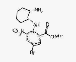 COC(=O)c1cc(Br)cc([N+](=O)[O-])c1N[C@@H]1CCCC[C@@H]1N